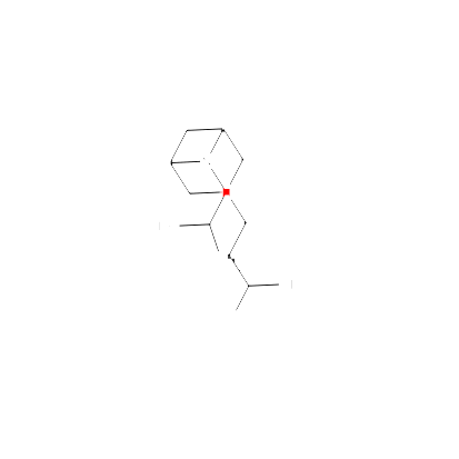 CC(C)CCN1CC2CC(C1)N2CC(C)C